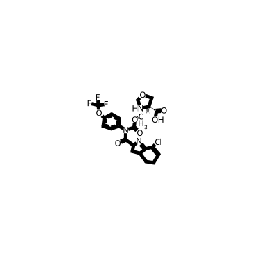 COC(=O)N(C(=O)C1CC2CCC=C(Cl)C2=N1)c1ccc(OC(F)(F)F)cc1.O=C(O)[C@H]1COCN1